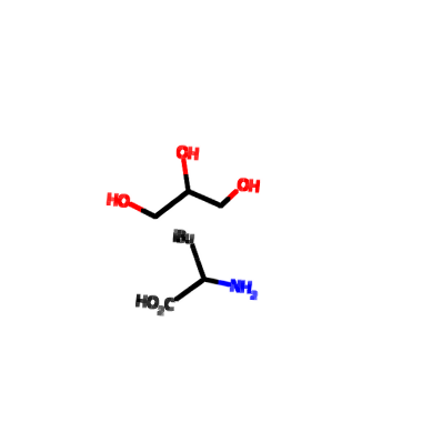 CCC(C)C(N)C(=O)O.OCC(O)CO